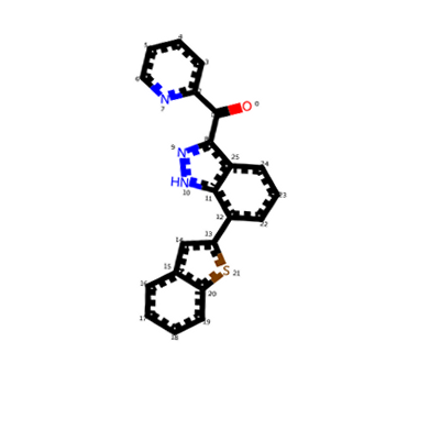 O=C(c1ccccn1)c1n[nH]c2c(-c3cc4ccccc4s3)cccc12